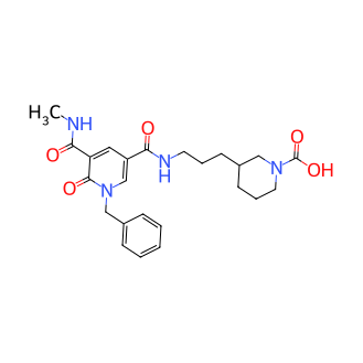 CNC(=O)c1cc(C(=O)NCCCC2CCCN(C(=O)O)C2)cn(Cc2ccccc2)c1=O